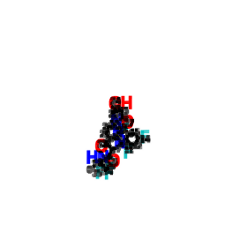 CC[C@H](NC(=O)c1cn(-c2c(F)cc(F)cc2F)c2nc(N3C[C@@H](O)CC3=O)ccc2c1=O)C(F)(F)F